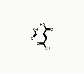 O=C(O)C=CC(=O)O.O=CO